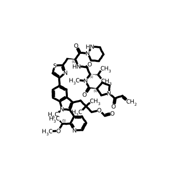 C=CC(=O)N1CC[C@H](C(=O)N(C)[C@H](C(=O)N[C@@H](Cc2nc(-c3ccc4c(c3)c(CC(C)(C)COC=O)c(-c3cccnc3[C@H](C)OC)n4C)cs2)C(=O)N2CCCCN2)C(C)C)C1